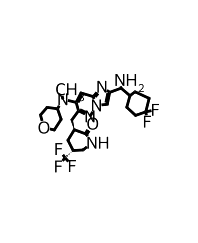 CN(c1cc2nc([C@@H](N)C3CCC(F)(F)CC3)cn2nc1C[C@@H]1C[C@@H](C(F)(F)F)CNC1=O)C1CCOCC1